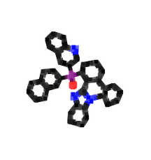 O=P(c1ccc2ccccc2c1)(c1cnc2ccccc2c1)c1cccc2c3ccccc3n3c4ccccc4nc3c12